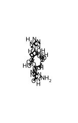 Nc1nc2c(nnn2[C@@H]2O[C@@H]3CO[P@@](=O)(S)O[C@H]4[C@@H](O)[C@H](n5cnc6c(N)ncnc65)[C@H]5CCC54COP(=O)(O)O[C@@H]2C3)c(=O)[nH]1